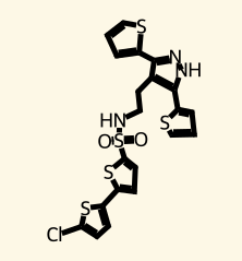 O=S(=O)(NCCc1c(-c2cccs2)n[nH]c1-c1cccs1)c1ccc(-c2ccc(Cl)s2)s1